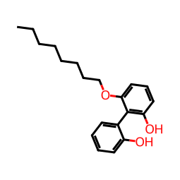 CCCCCCCCOc1cccc(O)c1-c1ccccc1O